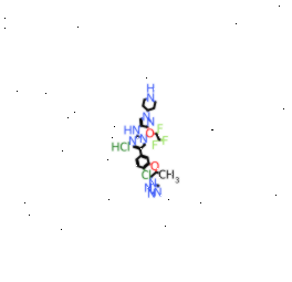 CC(Cn1cnnn1)Oc1cc(-c2cnc(Nc3cn(C4CCNCC4)nc3OC(F)C(F)F)nc2)ccc1Cl.Cl